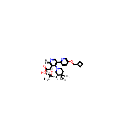 Cc1ncc(-c2ccc(OCC3CCC3)cn2)c(N2CCC(C)(C)CC2)c1[C@H](OC(C)(C)C)C(=O)O